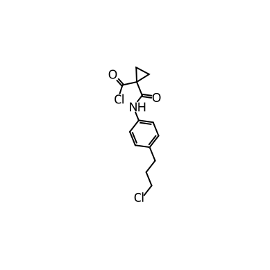 O=C(Cl)C1(C(=O)Nc2ccc(CCCCl)cc2)CC1